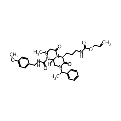 C=CCOC(=O)NCCC[C@H]1C(=O)N([C@H](C)c2ccccc2)C[C@H]2N1C(=O)CN(C)N2C(=O)NCc1ccc(OC)cc1